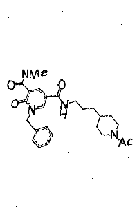 CNC(=O)c1cc(C(=O)NCCCC2CCN(C(C)=O)CC2)cn(Cc2ccccc2)c1=O